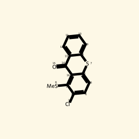 CSc1c(Cl)ccc2sc3ccccc3c(=O)c12